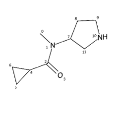 CN(C(=O)C1CC1)C1CCNC1